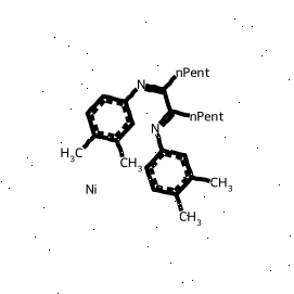 CCCCCC(=Nc1ccc(C)c(C)c1)C(CCCCC)=Nc1ccc(C)c(C)c1.[Ni]